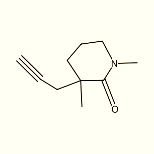 C#CCC1(C)CCCN(C)C1=O